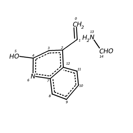 C=Cc1cc(O)nc2ccccc12.NC=O